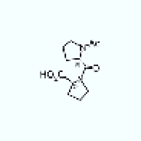 CC(=O)N1CCC[C@H]1C(=O)N1CCC[C@H]1C(=O)O